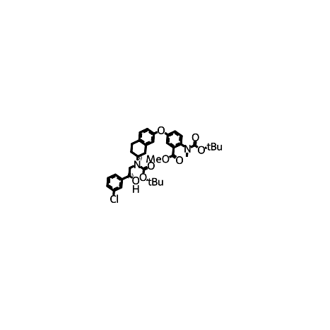 COC(=O)c1cc(Oc2ccc3c(c2)C[C@@H](N(C[C@@H](O)c2cccc(Cl)c2)C(=O)OC(C)(C)C)CC3)ccc1N(C)C(=O)OC(C)(C)C